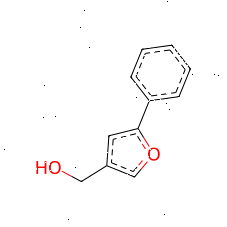 OCc1coc(-c2ccccc2)c1